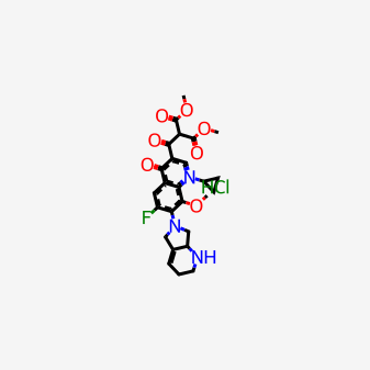 COC(=O)C(C(=O)OC)C(=O)c1cn(C2CC2)c2c(OC)c(N3CC4=CCCNC4C3)c(F)cc2c1=O.Cl